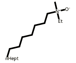 CCCCCCCCCCCCCC[N+](C)([O-])CC